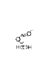 CCc1cccc(CNCc2cccc(CC(C)[C@]34CC5C[C@H](C[C@@H](C5)C3)C4)c2)c1